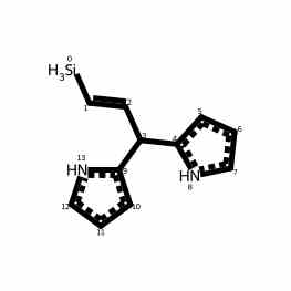 [SiH3]C=CC(c1ccc[nH]1)c1ccc[nH]1